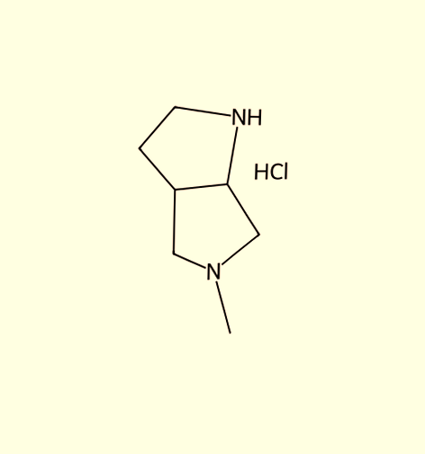 CN1CC2CCNC2C1.Cl